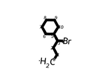 [CH2]CCC(Br)C1CCCCC1